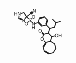 CC(C)CC(c1cccc(NS(=O)(=O)C2(C#N)CNC=N2)c1)C1C(=O)OC2=CC=CCCCC2C1O